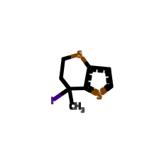 CC1(I)CCSc2ccsc21